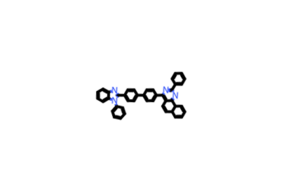 C1=CC2C=Cc3c(-c4ccc(-c5ccc(-c6nc7ccccc7n6-c6ccccc6)cc5)cc4)nc(-c4ccccc4)nc3C2C=C1